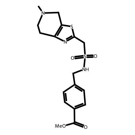 COC(=O)c1ccc(CNS(=O)(=O)Cc2nc3c(s2)CN(C)CC3)cc1